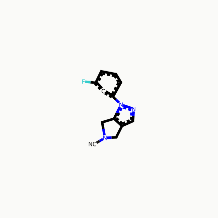 N#CN1Cc2cnn(-c3cccc(F)c3)c2C1